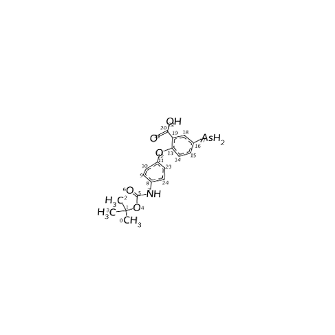 CC(C)(C)OC(=O)Nc1ccc(Oc2ccc([AsH2])cc2C(=O)O)cc1